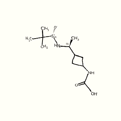 C[C@H](N[S@@+]([O-])C(C)(C)C)C1CC(NC(=O)O)C1